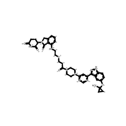 CC1(Oc2ccc3[nH]nc(-c4cc(N5CCN(C(=O)CCOCCNc6cccc7c6C(=O)N(C6CCC(=O)NC6=O)C7)CC5)ncn4)c3c2)CC1